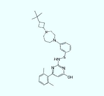 Cc1cccc(C)c1-c1cc(O)nc(NSc2cccc(N3CCCN(C4CC(C(C)(C)C)C4)CC3)c2)n1